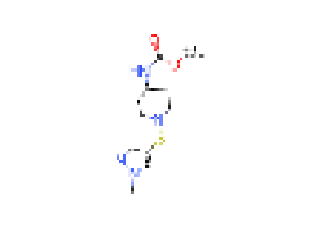 Cn1cc(SN2CCC(NC(=O)OC(C)(C)C)CC2)cn1